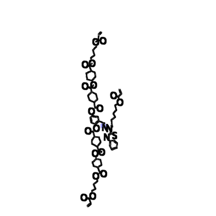 C=CC(=O)OCCCCCCN(/N=C/c1cc(OC(=O)C2CCC(C(=O)OC3CCC(C(=O)OCCCCOC(=O)C=C)CC3)CC2)ccc1OC(=O)C1CCC(C(=O)OC2CCC(C(=O)OCCCCOC(=O)C=C)CC2)CC1)c1nc2ccccc2s1